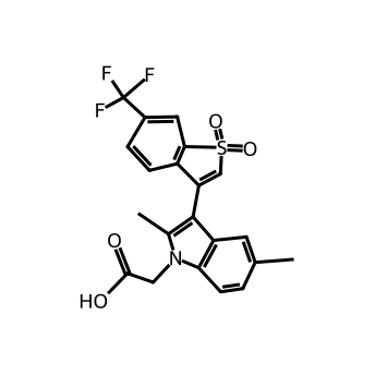 Cc1ccc2c(c1)c(C1=CS(=O)(=O)c3cc(C(F)(F)F)ccc31)c(C)n2CC(=O)O